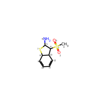 CS(=O)(=O)C1C(N)SC2C=CC=CC21